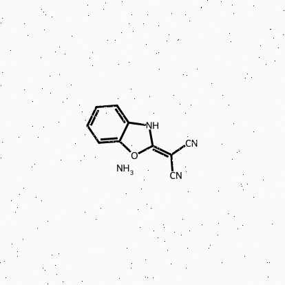 N.N#CC(C#N)=C1Nc2ccccc2O1